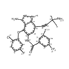 Cn1nc(N)c2c(Oc3cc(F)ccc3Cl)c(NC(=O)c3cc(F)cc(C(F)(F)F)c3)cc(C#CC(C)(C)N)c21